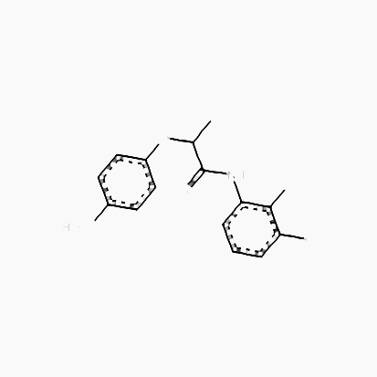 CC(Oc1ccc(C(=O)O)cc1)C(=O)Nc1cccc(Cl)c1F